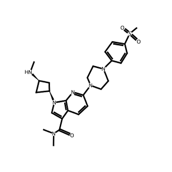 CN[C@H]1C[C@@H](n2cc(C(=O)N(C)C)c3ccc(N4CCN(c5ccc(S(C)(=O)=O)cc5)CC4)nc32)C1